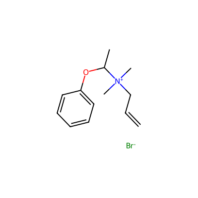 C=CC[N+](C)(C)C(C)Oc1ccccc1.[Br-]